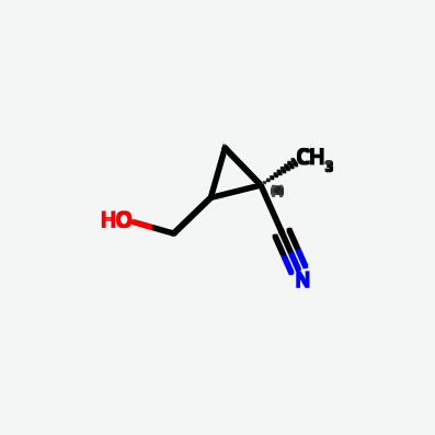 C[C@@]1(C#N)CC1CO